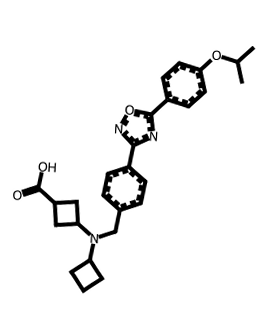 CC(C)Oc1ccc(-c2nc(-c3ccc(CN(C4CCC4)C4CC(C(=O)O)C4)cc3)no2)cc1